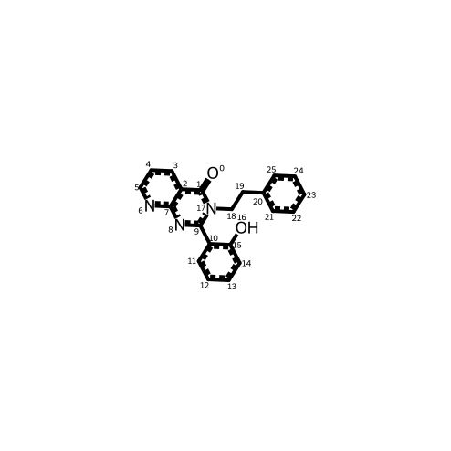 O=c1c2cccnc2nc(-c2ccccc2O)n1CCc1ccccc1